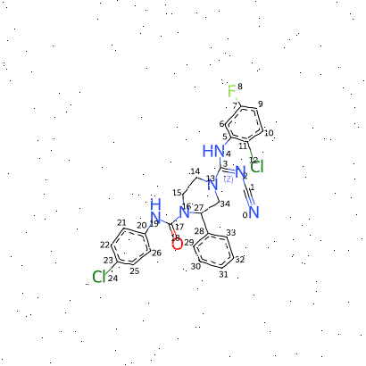 N#C/N=C(/Nc1cc(F)ccc1Cl)N1CCN(C(=O)Nc2ccc(Cl)cc2)C(c2ccccc2)C1